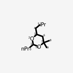 CCCC1OC(CC(C)C)CC(C)(C)O1